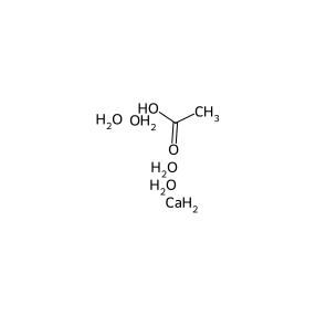 CC(=O)O.O.O.O.O.[CaH2]